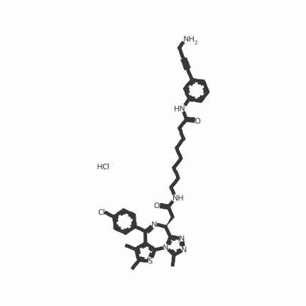 Cc1sc2c(c1C)C(c1ccc(Cl)cc1)=N[C@@H](CC(=O)NCCCCCCCC(=O)Nc1cccc(C#CCN)c1)c1nnc(C)n1-2.Cl